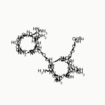 CCCCC(=O)NCCOCCOCCOCC(=O)N[C@H]1Cc2cn(nn2)CCCC[C@@H](C(=O)NCCOCCOCCOCC(=O)N[C@H]2Cc3cn(nn3)CCCC[C@@H](C(N)=O)NC(=O)[C@@H](CO)NC(=O)CNC(=O)[C@@H](C)NC(=O)[C@@H](CCCNC(=N)N)NC(=O)[C@@H](CCCN)NC2=O)NC(=O)[C@@H](CCCCN)NC(=O)[C@@H](CC(N)=O)NC(=O)CNC(=O)[C@@H](CO)NC(=O)[C@@H](CCCNC(=N)N)NC1=O